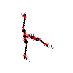 C=CC(=O)OCCCCCCCCCCOc1ccc(C(=O)Oc2ccc(OC(=O)c3ccc(OCCCCCCCCCCOC(=O)C=C)cc3)c(C(=O)OC(C)Oc3ccc(OC(=O)c4ccc(OCCCCCCOC(=O)C=C)cc4)cc3)c2)cc1